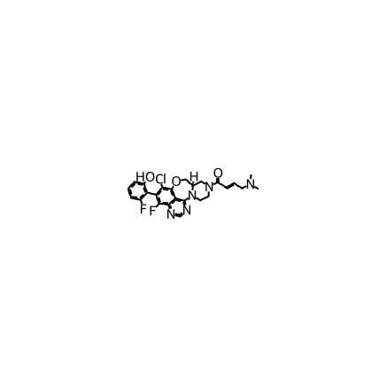 CN(C)C/C=C/C(=O)N1CCN2c3ncnc4c(F)c(-c5c(O)cccc5F)c(Cl)c(c34)OC[C@@H]2C1